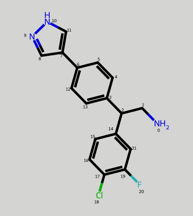 NCC(c1ccc(-c2cn[nH]c2)cc1)c1ccc(Cl)c(F)c1